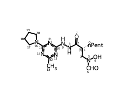 CCCCC[C@H](CN(O)C=O)C(=O)NNc1nc(C)nc(N2CCCC2)n1